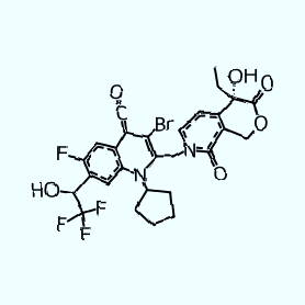 CC[C@@]1(O)C(=O)OCc2c1ccn(CC1=C(Br)C(=C=O)c3cc(F)c(C(O)C(F)(F)F)cc3N1C1CCCC1)c2=O